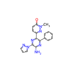 Cn1nc(-c2nc(-n3cccn3)c(N)nc2-c2ccccc2)ccc1=O